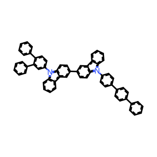 c1ccc(-c2ccc(-c3ccc(-n4c5ccccc5c5cc(-c6ccc7c(c6)c6ccccc6n7-c6ccc(-c7ccccc7)c(-c7ccccc7)c6)ccc54)cc3)cc2)cc1